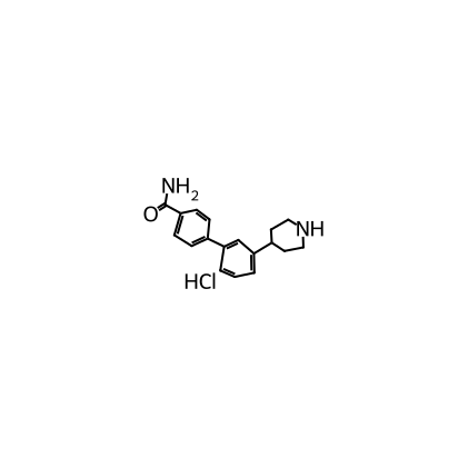 Cl.NC(=O)c1ccc(-c2cccc(C3CCNCC3)c2)cc1